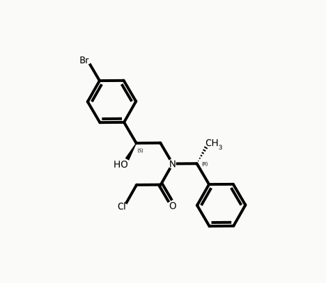 C[C@H](c1ccccc1)N(C[C@@H](O)c1ccc(Br)cc1)C(=O)CCl